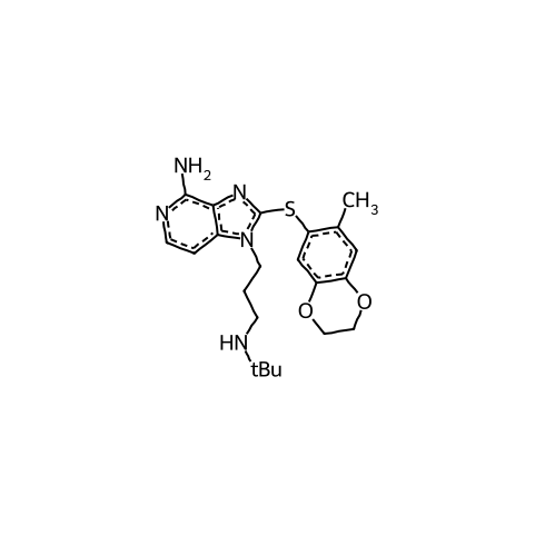 Cc1cc2c(cc1Sc1nc3c(N)nccc3n1CCCNC(C)(C)C)OCCO2